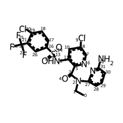 CCN(C(=O)c1ncc(Cl)cc1NS(=O)(=O)c1ccc(Cl)c(C(F)(F)F)c1)c1cccc(N)n1